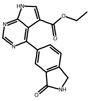 CCOC(=O)c1c[nH]c2ncnc(-c3ccc4c(c3)C(=O)NC4)c12